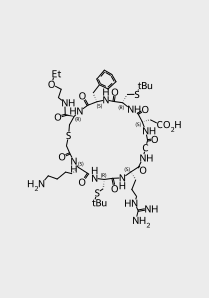 CCOCCNC(=O)[C@@H]1CSCC(=O)N[C@@H](CCCCN)C(=O)N[C@@H](CSC(C)(C)C)C(=O)N[C@@H](CCCNC(=N)N)C(=O)NCC(=O)N[C@@H](CC(=O)O)C(=O)N[C@@H](CSC(C)(C)C)C(=O)N[C@@H](Cc2ccccc2)C(=O)N1